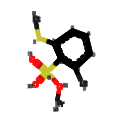 CCSc1cccc(CC)c1S(=O)(=O)OC(C)C